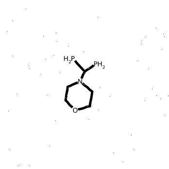 PC(P)N1CCOCC1